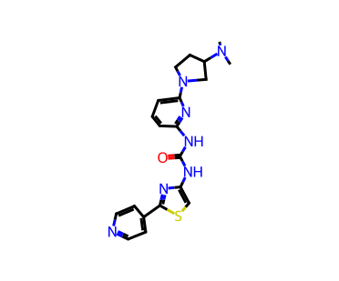 CN(C)C1CCN(c2cccc(NC(=O)Nc3csc(-c4ccncc4)n3)n2)C1